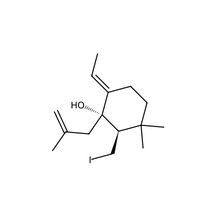 C=C(C)C[C@@]1(O)/C(=C/C)CCC(C)(C)[C@H]1CI